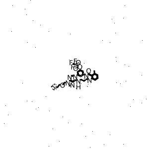 Cc1cccc2nc(CCNc3ncnc4c3ncn4COCC[Si](C)(C)C)n(-c3cccc(OS(=O)(=O)C(F)(F)F)c3)c(=O)c12